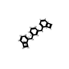 C1=Cc2c1cccc2Cc1cccc(Cc2cccc3c2C=C3)c1